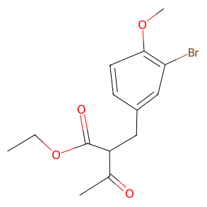 CCOC(=O)C(Cc1ccc(OC)c(Br)c1)C(C)=O